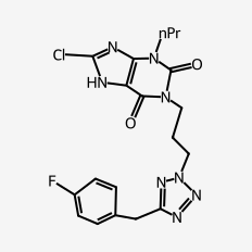 CCCn1c(=O)n(CCCn2nnc(Cc3ccc(F)cc3)n2)c(=O)c2[nH]c(Cl)nc21